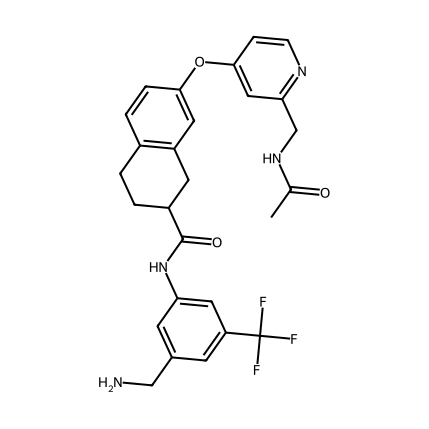 CC(=O)NCc1cc(Oc2ccc3c(c2)CC(C(=O)Nc2cc(CN)cc(C(F)(F)F)c2)CC3)ccn1